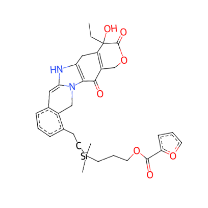 CCC1(O)C(=O)OCC2=C1CC1=C(C2=O)N2Cc3c(cccc3CC[Si](C)(C)CCCOC(=O)c3ccco3)C=C2N1